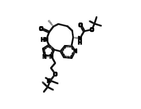 C[C@@H]1CCC[C@H](NC(=O)OC(C)(C)C)c2cc(ccn2)-c2c(cnn2CCO[Si](C)(C)C(C)(C)C)NC1=O